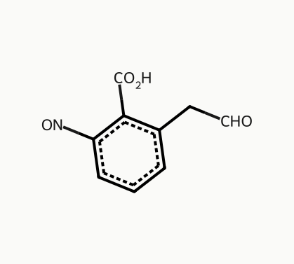 O=CCc1cccc(N=O)c1C(=O)O